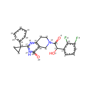 O=C(C(O)c1cccc(F)c1F)N1CCc2nc(C3(c4ccccc4)CC3)[nH]c(=O)c2C1